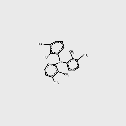 Cc1ccc[c]([Ga]([c]2cccc(C)c2C)[c]2cccc(C)c2C)c1C